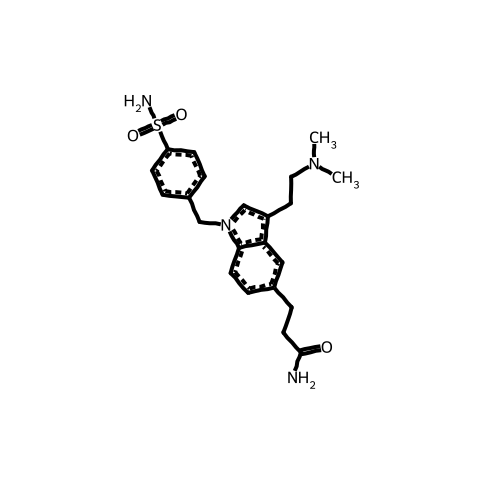 CN(C)CCc1cn(Cc2ccc(S(N)(=O)=O)cc2)c2ccc(CCC(N)=O)cc12